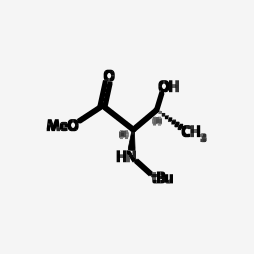 COC(=O)[C@H](NC(C)(C)C)[C@@H](C)O